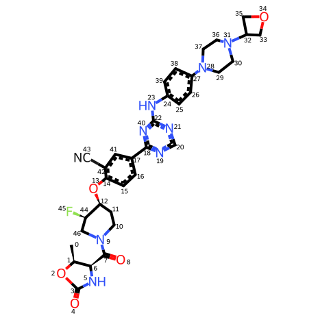 C[C@@H]1OC(=O)N[C@@H]1C(=O)N1CC[C@H](Oc2ccc(-c3ncnc(Nc4ccc(N5CCN(C6COC6)CC5)cc4)n3)cc2C#N)[C@H](F)C1